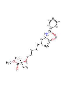 COC(=O)C(C)(C)OCCCCCCCC(NC(=O)c1ccccc1)C(C)=O